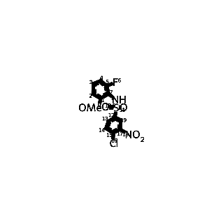 COc1cccc(F)c1NS(=O)(=O)c1ccc(Cl)c([N+](=O)[O-])c1